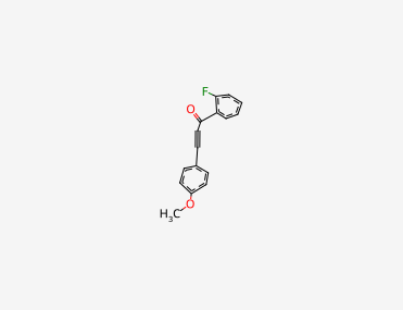 COc1ccc(C#CC(=O)c2ccccc2F)cc1